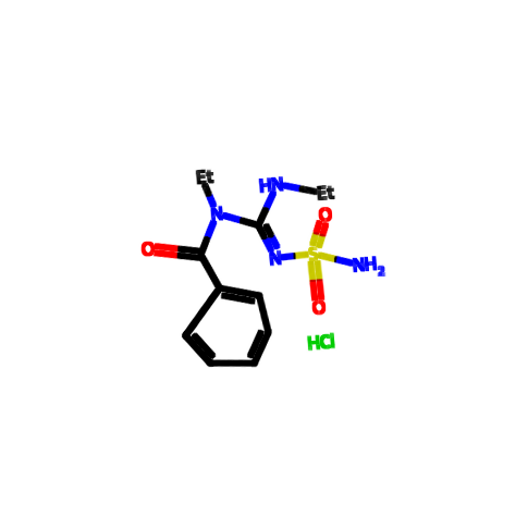 CCNC(=NS(N)(=O)=O)N(CC)C(=O)c1ccccc1.Cl